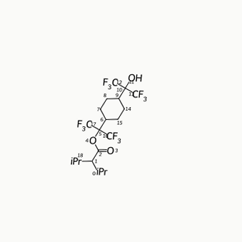 CC(C)C(C(=O)OC(C1CCC(C(O)(C(F)(F)F)C(F)(F)F)CC1)(C(F)(F)F)C(F)(F)F)C(C)C